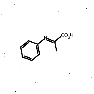 C/C(=N\c1ccccc1)C(=O)O